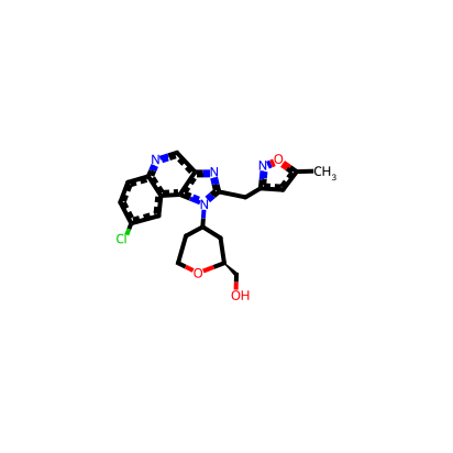 Cc1cc(Cc2nc3cnc4ccc(Cl)cc4c3n2C2CCO[C@H](CO)C2)no1